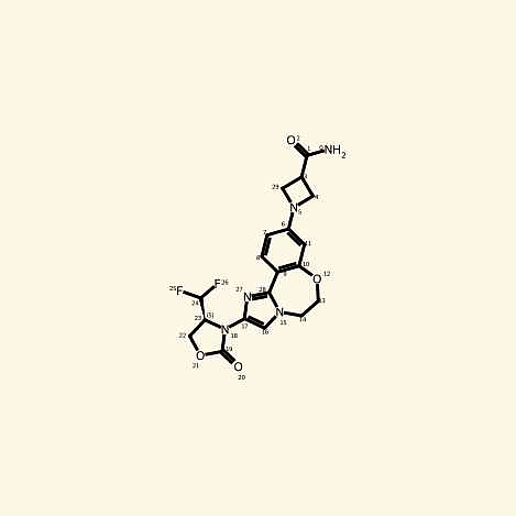 NC(=O)C1CN(c2ccc3c(c2)OCCn2cc(N4C(=O)OC[C@H]4C(F)F)nc2-3)C1